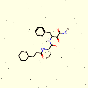 CCNC(=O)C(=O)C(Cc1ccccc1)NC(=O)[C@H](CC(C)C)NC(=O)CCC1CCCCC1